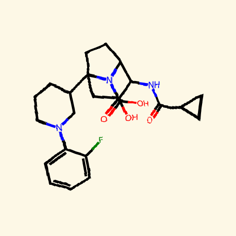 O=C(NC1C(O)CC2(C3CCCN(c4ccccc4F)C3)CCC1N2C(=O)O)C1CC1